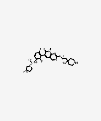 Cn1c(=O)c(-c2c(F)ccc(N[S+]([O-])N3CC[C@@H](F)C3)c2F)cc2cnc(NCCC3(O)CCNCC3)nc21